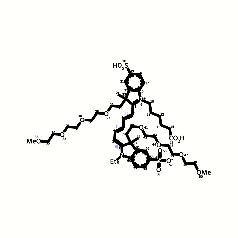 CCN1/C(=C/C=C/C=C/C2=[N+](CCCCCC(=O)O)c3ccc(S(=O)(=O)O)cc3C2(C)CCOCCOCCOCCOC)C(C)(CCOCCOCCOCCOC)c2cc(S(=O)(=O)[O-])ccc21